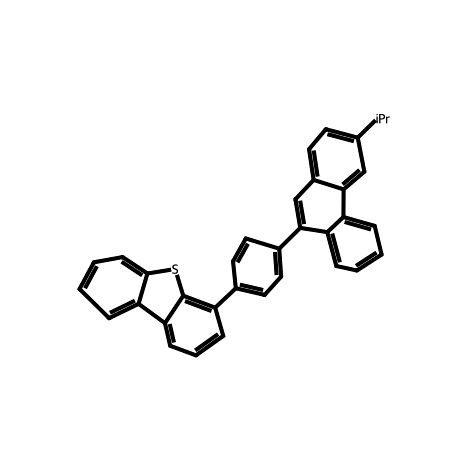 CC(C)c1ccc2cc(-c3ccc(-c4cccc5c4sc4ccccc45)cc3)c3ccccc3c2c1